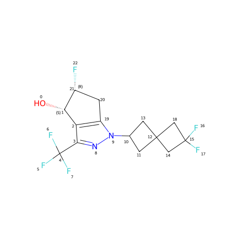 O[C@H]1c2c(C(F)(F)F)nn(C3CC4(C3)CC(F)(F)C4)c2C[C@H]1F